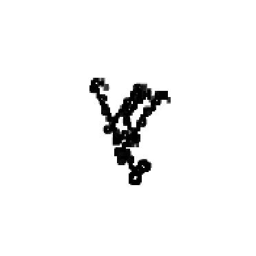 COCCOCCOCCN(CCOCCOCCOC)C(=O)CNC(=O)C[C@H](NCC(=O)N(CCOCCOCCOC)CCOCCOCCOC)C(=O)OC(=O)OCC1c2ccccc2-c2ccccc21